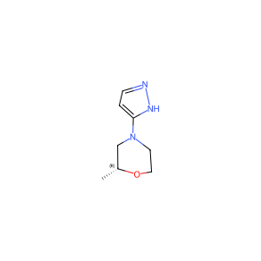 C[C@@H]1CN(c2ccn[nH]2)CCO1